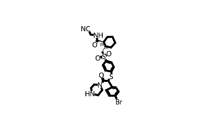 N#CCNC(=O)[C@H]1CCCC[C@@H]1CS(=O)(=O)c1ccc(SC(C(=O)N2CCNCC2)c2ccc(Br)cc2)cc1